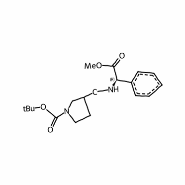 COC(=O)[C@H](NCC1CCN(C(=O)OC(C)(C)C)C1)c1ccccc1